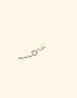 O=C/C=C/C=C/c1ccc(OCC(F)(F)C(F)F)cc1